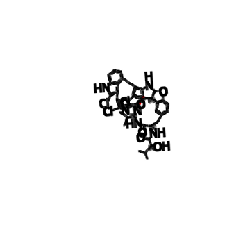 CC(C)[C@H](O)C(=O)N[C@H]1Cc2ccc3c(c2)[C@]24c5cc(Cl)cc(c5NC2O3)-c2cccc3[nH]c(Cl)c(c23)-c2oc(nc2Cl)-c2nc(oc24)[C@H](C(C)C)NC1=O